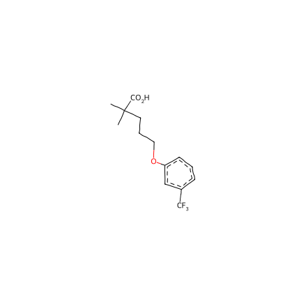 CC(C)(CCCOc1cccc(C(F)(F)F)c1)C(=O)O